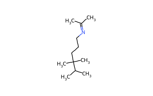 CC(C)=NCCCC(C)(C)C(C)C